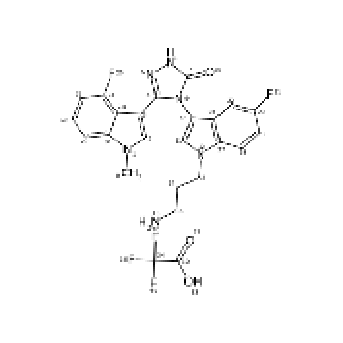 Cn1cc(-c2n[nH]c(=O)n2-c2cn(CCCN)c3ccc(F)cc23)c2c(F)cccc21.O=C(O)C(F)(F)F